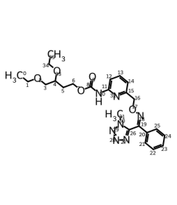 CCOCC(CCOC(=O)Nc1cccc(CO/N=C(/c2ccccc2)c2nnnn2C)n1)OCC